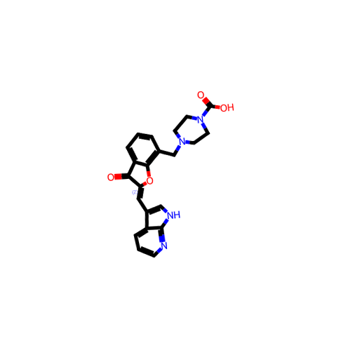 O=C1/C(=C/c2c[nH]c3ncccc23)Oc2c(CN3CCN(C(=O)O)CC3)cccc21